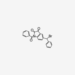 O=C1C(=O)N(C(=O)c2ccccc2)c2ccc(C(Br)c3ccccc3)cc21